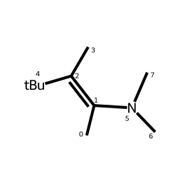 C/C(=C(/C)C(C)(C)C)N(C)C